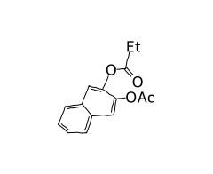 CCC(=O)Oc1cc2ccccc2cc1OC(C)=O